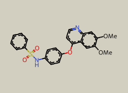 COc1cc2nccc(Oc3ccc(NS(=O)(=O)c4ccccc4)cc3)c2cc1OC